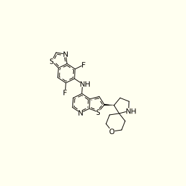 Fc1cc2scnc2c(F)c1Nc1ccnc2sc([C@H]3CCNC34CCOCC4)cc12